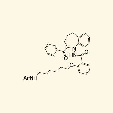 CC(=O)NCCCCCCOc1ccccc1C(=O)NN1c2ccccc2CCCC1C(=O)c1ccccc1